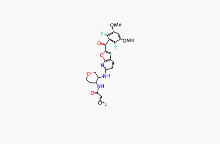 C=CC(=O)NC1CCOCC1Nc1ccc2cc(C(=O)c3c(F)c(OC)cc(OC)c3F)oc2n1